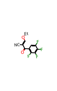 CCOC=C(C#N)C(=O)c1cc(F)c(F)c(F)c1F